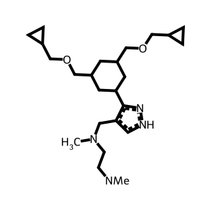 CNCCN(C)Cc1c[nH]nc1C1CC(COCC2CC2)CC(COCC2CC2)C1